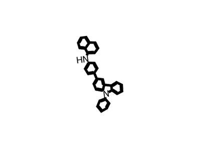 c1ccc(-n2c3ccccc3c3cc(-c4ccc(Nc5cccc6ccccc56)cc4)ccc32)cc1